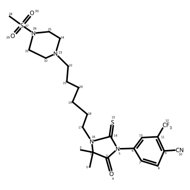 CC1(C)C(=O)N(c2ccc(C#N)c(C(F)(F)F)c2)C(=S)N1CCCCCCN1CCN(S(C)(=O)=O)CC1